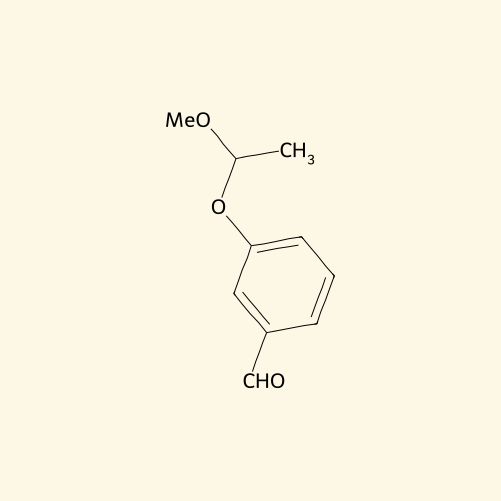 COC(C)Oc1cccc(C=O)c1